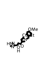 CCOC(=O)c1cc(C(=O)C=C(O)c2nc[nH]n2)cn1Cc1ccc(OC)cc1